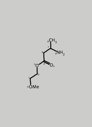 COCCOC(=O)CC(C)N